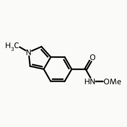 CONC(=O)c1ccc2cn(C)cc2c1